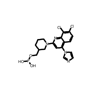 OP(O)OCC1CCCN(c2cc(-n3ccnc3)c3ccc(Cl)c(Cl)c3n2)C1